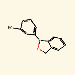 N#Cc1cccc(B2OCc3ccccc32)c1